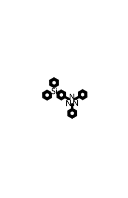 c1ccc(-c2nc(-c3ccccc3)nc(-c3ccc([Si](c4ccccc4)c4ccccc4)cc3)n2)cc1